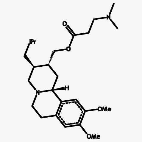 COc1cc2c(cc1OC)[C@H]1C[C@@H](COC(=O)CCN(C)C)[C@H](CC(C)C)CN1CC2